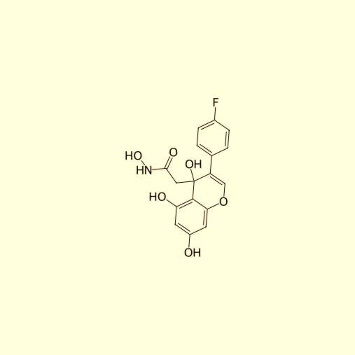 O=C(CC1(O)C(c2ccc(F)cc2)=COc2cc(O)cc(O)c21)NO